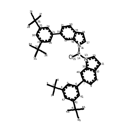 CC(C)(C)c1cc(-c2ccc3ccn(P(Cl)n4ccc5ccc(-c6cc(C(C)(C)C)cc(C(C)(C)C)c6)cc54)c3c2)cc(C(C)(C)C)c1